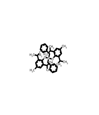 Cc1cc(C(C)C)c([O][Ti]([CH2]c2ccccc2)([CH2]c2ccccc2)[O]c2c(C(C)C)cc(C)cc2C(C)C)c(C(C)C)c1